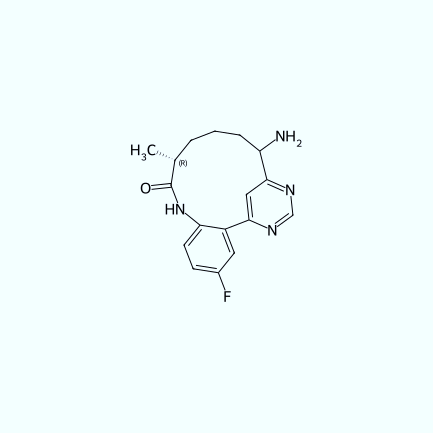 C[C@@H]1CCCC(N)c2cc(ncn2)-c2cc(F)ccc2NC1=O